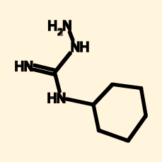 N=C(NN)NC1CCCCC1